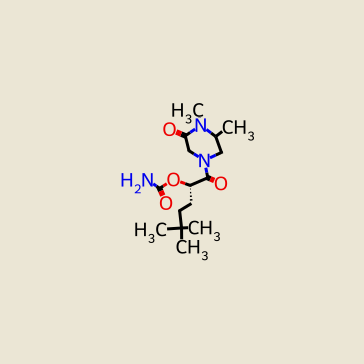 CC1CN(C(=O)[C@H](CCC(C)(C)C)OC(N)=O)CC(=O)N1C